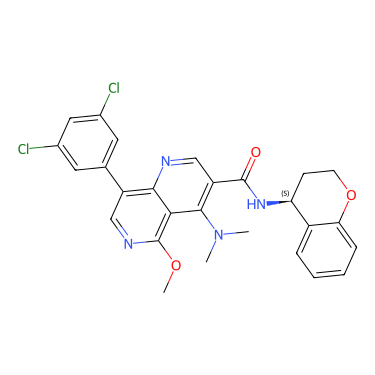 COc1ncc(-c2cc(Cl)cc(Cl)c2)c2ncc(C(=O)N[C@H]3CCOc4ccccc43)c(N(C)C)c12